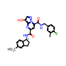 Cc1cc(CNC(=O)c2cc(C(=O)N[C@H]3CCc4cc(C(=O)O)ccc43)nc3c(O)cnn23)ccc1F